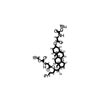 CC(C)CCC(OC(=O)CNC(=O)OC(C)(C)C)[C@@H](C)C1CCC2C3CC=C4CC(OC(=O)CNC(=O)OC(C)(C)C)CCC4(C)C3CCC21C